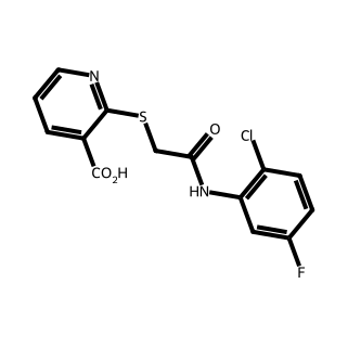 O=C(CSc1ncccc1C(=O)O)Nc1cc(F)ccc1Cl